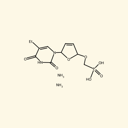 CCc1cn(C2C=CC(OCP(=O)(O)O)O2)c(=O)[nH]c1=O.N.N